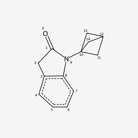 O=C1Cc2ccccc2N1C12CC(C1)C2